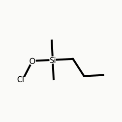 CCC[Si](C)(C)OCl